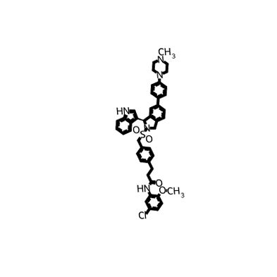 COc1ccc(Cl)cc1NC(=O)CCc1ccc(CS(=O)(=O)N2Cc3ccc(-c4ccc(N5CCN(C)CC5)cc4)cc3[C@@H]2c2c[nH]c3ccccc23)cc1